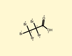 O=C(O)C(Br)(Br)C(Br)(Br)Br